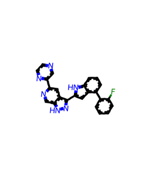 Fc1ccccc1-c1cccc2[nH]c(-c3n[nH]c4cnc(-c5cnccn5)cc34)cc12